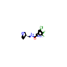 O=C(NC[C@@H]1CCNC1)c1cc2cc(Cl)c(F)c(F)c2[nH]1